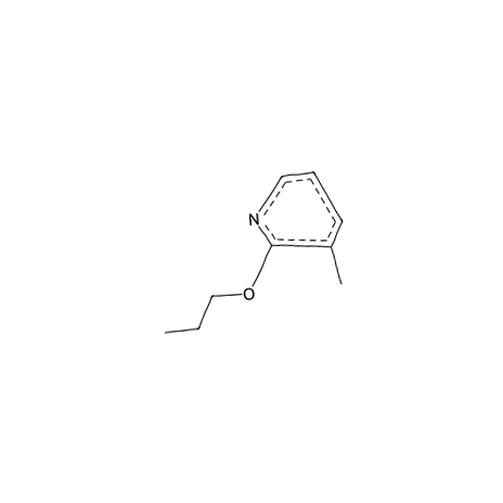 CCCOc1ncccc1C